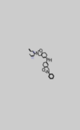 C=C/C=C(\C=C/C)N1COC2=C(C=C(PC3=CC4=C(CC3)OCN(c3ccccc3)C4)CC2)C1